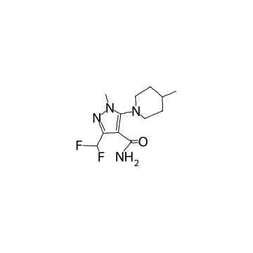 CC1CCN(c2c(C(N)=O)c(C(F)F)nn2C)CC1